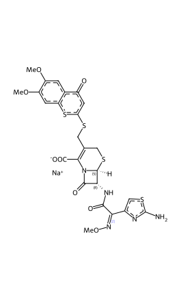 CO/N=C(\C(=O)N[C@@H]1C(=O)N2C(C(=O)[O-])=C(CSc3cc(=O)c4cc(OC)c(OC)cc4s3)CS[C@@H]12)c1csc(N)n1.[Na+]